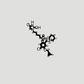 O=C1CN(CCCCCS(=O)(=O)N[C@H](CN2CCCCC2)c2ccc(Cl)c(OCC3CC3)c2)C(O)N1